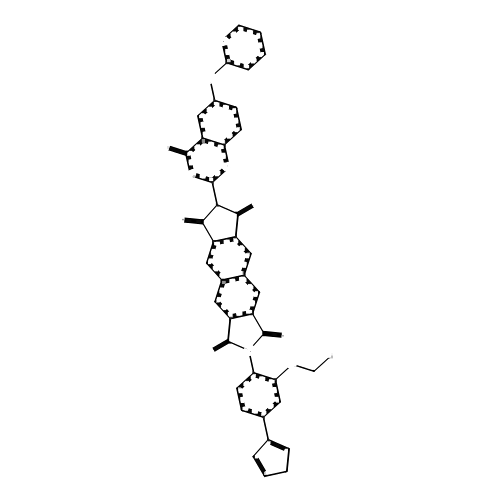 CC(C)CSc1cc(C2=CCC=C2)ccc1N1C(=O)c2cc3cc4c(cc3cc2C1=O)C(=O)C(c1nc2ccc(Oc3ccccn3)cc2c(=O)[nH]1)C4=O